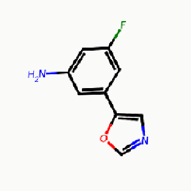 Nc1cc(F)cc(-c2cnco2)c1